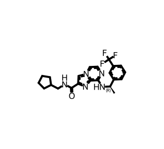 C[C@@H](Nc1nccn2cc(C(=O)NCC3CCCC3)nc12)c1cccc(C(F)(F)F)c1